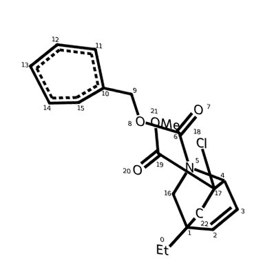 CCC12C=CC(N(C(=O)OCc3ccccc3)C1)C(Cl)(C(=O)OC)C2